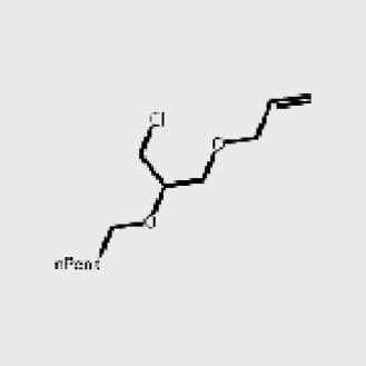 C=CCOCC(CCl)OCCCCCC